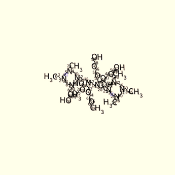 CCCN1/C=C\N(CC)CCN(CC(O)CN(CCN(CC(O)CN2/C=C\N(CC)CCN(CCC)CCN(CCC)CC2)C(COCCOCCO)COCCOCCO)C(COCCOCC)COCCOCCO)CCN(CCC)CC1